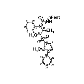 CCCCCNC(=O)N(c1ccccc1)C(C)C(C)S(=O)(=O)n1cnc(-c2ccccc2)c1C